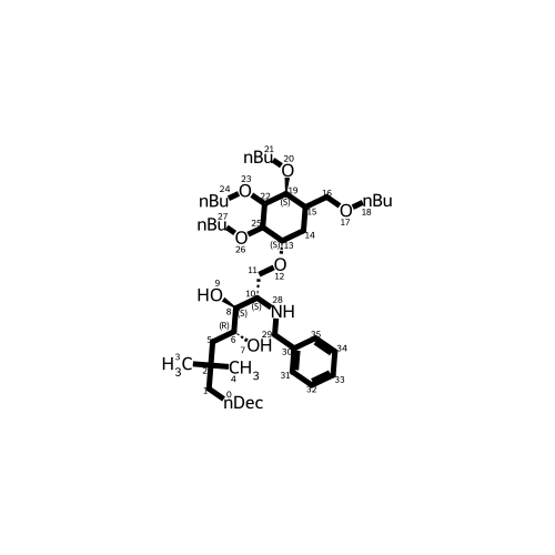 CCCCCCCCCCCC(C)(C)C[C@@H](O)[C@@H](O)[C@H](CO[C@H]1CC(COCCCC)[C@H](OCCCC)C(OCCCC)C1OCCCC)NCc1ccccc1